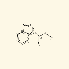 CC(=O)CC(=O)Nc1ccccc1C(=O)O